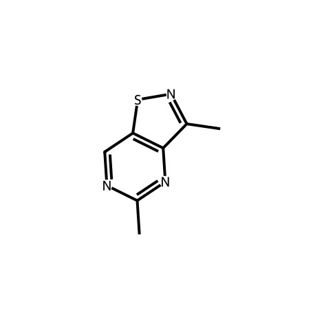 Cc1ncc2snc(C)c2n1